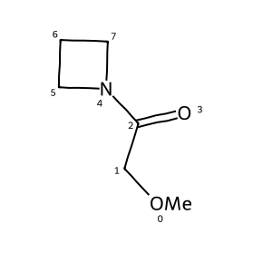 COCC(=O)N1CCC1